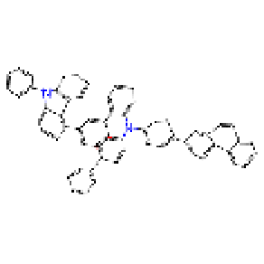 C1=Cc2c(n(-c3ccccc3)c3cccc(-c4cccc(-c5ccccc5N(c5ccc(-c6ccccc6)cc5)c5ccc(-c6ccc7c(ccc8ccccc87)c6)cc5)c4)c23)CC1